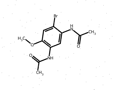 COc1cc(Br)c(NC(C)=O)cc1NC(C)=O